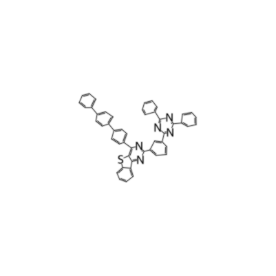 c1ccc(-c2ccc(-c3ccc(-c4nc(-c5cccc(-c6nc(-c7ccccc7)nc(-c7ccccc7)n6)c5)nc5c4sc4ccccc45)cc3)cc2)cc1